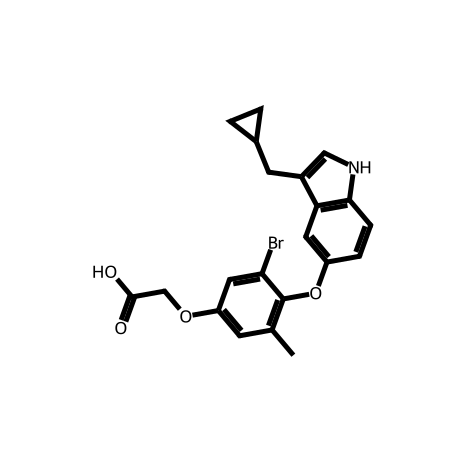 Cc1cc(OCC(=O)O)cc(Br)c1Oc1ccc2[nH]cc(CC3CC3)c2c1